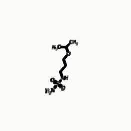 CC(C)OCCCNS(N)(=O)=O